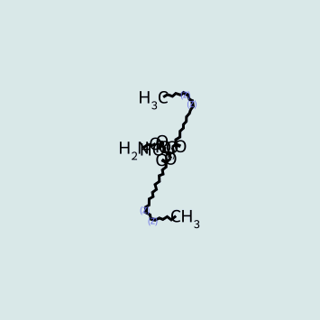 CCCCC/C=C\C/C=C\CCCCCCCCCCCC(=O)O[C@H](COC(=O)CCCCCCCCC/C=C\C/C=C\CCCCC)COP(=O)(O)OCCN